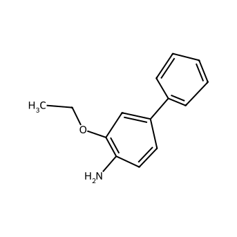 CCOc1cc(-c2ccccc2)ccc1N